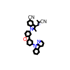 C/C(C#N)=C\c1c(C)n(-c2ccc3oc4ccc(-n5c6ccccc6c6cccnc65)cc4c3c2)c2ccc(C#N)cc12